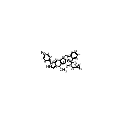 C[C@H]1C2=CNN(c3ccc(F)cc3)C2=CC2=C1[C@@H](CN(CC1CC1)S(=O)(=O)c1ccccc1Cl)CC2